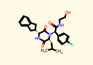 CC(C)C[C@@H]1C(=O)N[C@H](C2Cc3ccccc3C2)C(=O)N1[C@@H](C(=O)NCCO)c1ccc(F)cc1